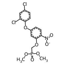 COP(=O)(COc1cc(Oc2ccc(Cl)cc2Cl)ccc1[N+](=O)[O-])OC